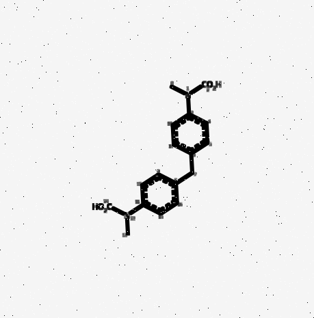 CN(C(=O)O)c1ccc(Cc2ccc(N(C)C(=O)O)cc2)cc1